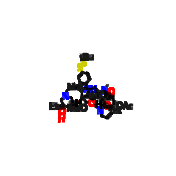 CC[C@]1(O)C[C@H]2CN(CCc3c([nH]c4ccc(SSC(C)(C)C)cc34)[C@@](C(=O)OC)(C3C=C4C(=CC3OC)N(C)[C@@]35O[C@]3(C(=O)OC)[C@H](OC(C)=O)[C@]3(CC)C=CCN6CC[C@]45[C@@H]63)C2)C1